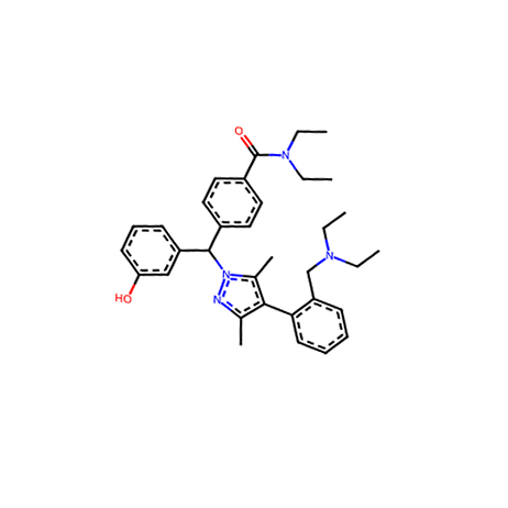 CCN(CC)Cc1ccccc1-c1c(C)nn(C(c2ccc(C(=O)N(CC)CC)cc2)c2cccc(O)c2)c1C